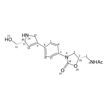 CC(=O)NC[C@H]1CN(c2ccc(C3=C[C@H](CO)NC3)cc2)C(=O)O1